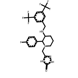 O=c1[nH]nc(CN2CCCC(NCc3cc(C(F)(F)F)cc(C(F)(F)F)c3)C2c2ccc(F)cc2)[nH]1